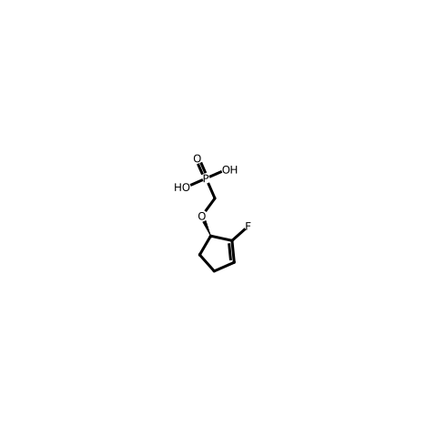 O=P(O)(O)CO[C@@H]1CCC=C1F